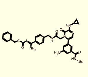 CC[C@@H](C)NC(=O)c1cc(N)cc(-c2cnc(NC3CC3)c(=O)n2CC(=O)NCc2ccc(/C(N)=N/C(=O)OCc3ccccc3)cc2)c1